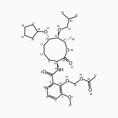 COc1ccnc(C(=O)N[C@H]2CCC[C@H](OC3CCCC3)[C@@H](OCC(C)C)[C@H](C)OC2=O)c1OCOC(C)=O